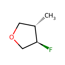 C[C@H]1COC[C@@H]1F